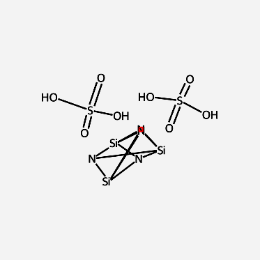 N12[Si]34N5[Si]16N3[Si]25N46.O=S(=O)(O)O.O=S(=O)(O)O